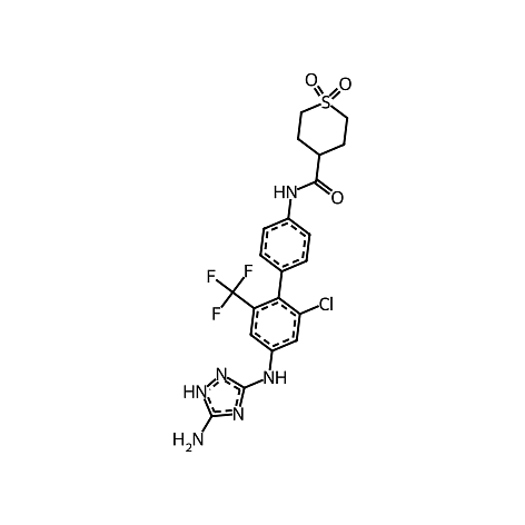 Nc1nc(Nc2cc(Cl)c(-c3ccc(NC(=O)C4CCS(=O)(=O)CC4)cc3)c(C(F)(F)F)c2)n[nH]1